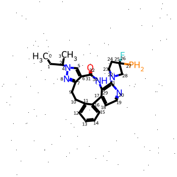 CCC(C)n1cc2c(n1)CCc1ccccc1-c1ccnc(N3CCC(F)(P)C3)c1NC2=O